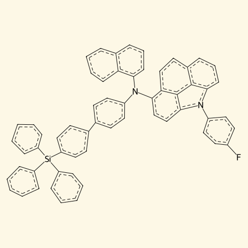 Fc1ccc(-n2c3cccc4ccc5c(N(c6ccc(-c7ccc([Si](c8ccccc8)(c8ccccc8)c8ccccc8)cc7)cc6)c6cccc7ccccc67)ccc2c5c43)cc1